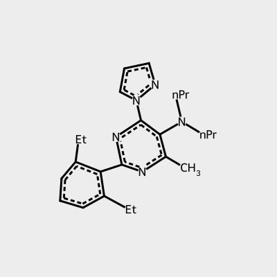 CCCN(CCC)c1c(C)nc(-c2c(CC)cccc2CC)nc1-n1cccn1